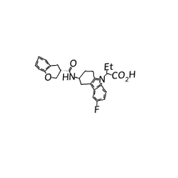 CCC(C(=O)O)n1c2c(c3cc(F)ccc31)C[C@@H](NC(=O)[C@@H]1COc3ccccc3C1)CC2